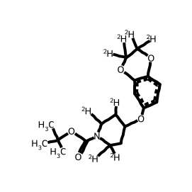 [2H]C1C(Oc2ccc3c(c2)OC([2H])([2H])C([2H])([2H])O3)CC([2H])([2H])N(C(=O)OC(C)(C)C)C1[2H]